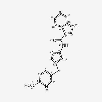 O=C(O)c1ccc(Cc2cnc(NC(=O)c3coc4ccccc34)s2)cn1